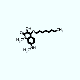 CCCCCCCCOc1c(O)c(=O)n(C)c2cc(NC)ccc12